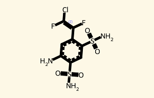 Nc1cc(/C(F)=C(\F)Cl)c(S(N)(=O)=O)cc1S(N)(=O)=O